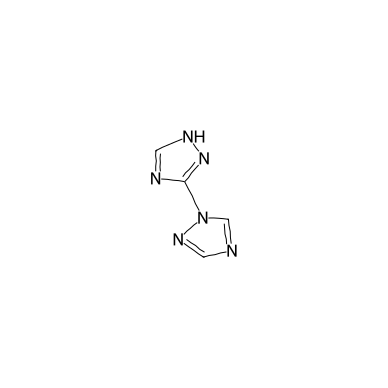 c1ncn(-c2nc[nH]n2)n1